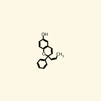 C/C=C\C1(c2ccccc2)C=Cc2cc(O)ccc2O1